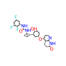 O=C1CCc2c(Oc3ccc(O)c(C4C5CC54NC(=O)Nc4cc(F)cc(F)c4F)c3)ccnc2N1